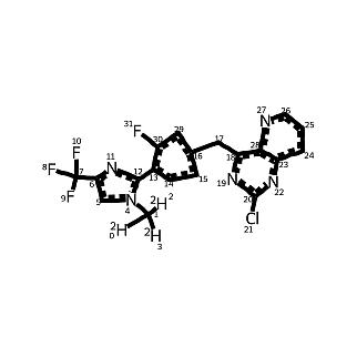 [2H]C([2H])([2H])n1cc(C(F)(F)F)nc1-c1ccc(Cc2nc(Cl)nc3cccnc23)cc1F